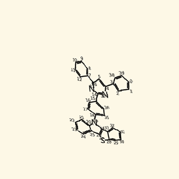 c1ccc(-c2cc(-c3ccccc3)nc(-c3ccc(-n4c5ccccc5c5sc6ccccc6c54)cc3)n2)cc1